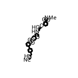 CNS(=O)(=O)c1cccc(OC[C@@H](O)CNC2COC3(CCN(S(=O)(=O)c4cccc(-c5ccc(CNCC#N)cc5)c4)CC3)C2)c1